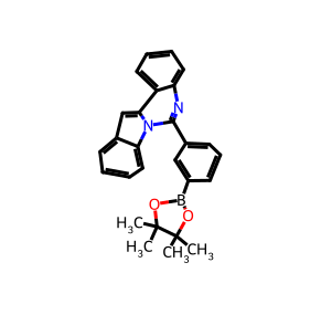 CC1(C)OB(c2cccc(-c3nc4ccccc4c4cc5ccccc5n34)c2)OC1(C)C